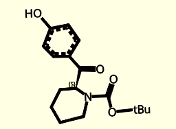 CC(C)(C)OC(=O)N1CCCC[C@H]1C(=O)c1ccc(O)cc1